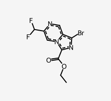 CCOC(=O)c1nc(Br)c2cnc(C(F)F)cn12